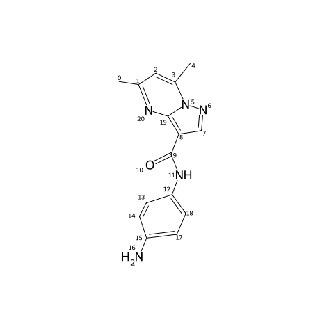 Cc1cc(C)n2ncc(C(=O)Nc3ccc(N)cc3)c2n1